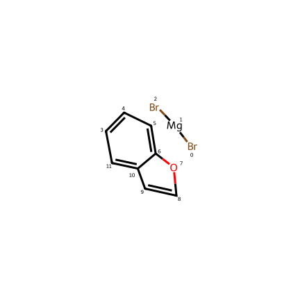 [Br][Mg][Br].c1ccc2occc2c1